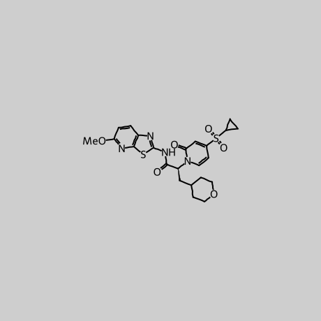 COc1ccc2nc(NC(=O)[C@H](CC3CCOCC3)n3ccc(S(=O)(=O)C4CC4)cc3=O)sc2n1